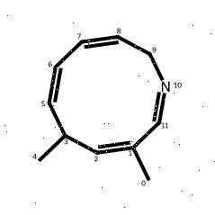 CC1=C/C(C)/C=C\C=C/C/N=C\1